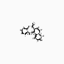 O=C1Cc2ccccc2Oc2c1ccc1ccccc21